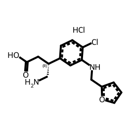 Cl.NC[C@H](CC(=O)O)c1ccc(Cl)c(NCc2ccco2)c1